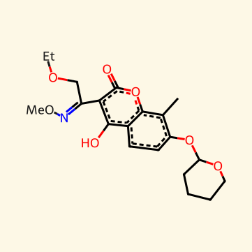 CCOCC(=NOC)c1c(O)c2ccc(OC3CCCCO3)c(C)c2oc1=O